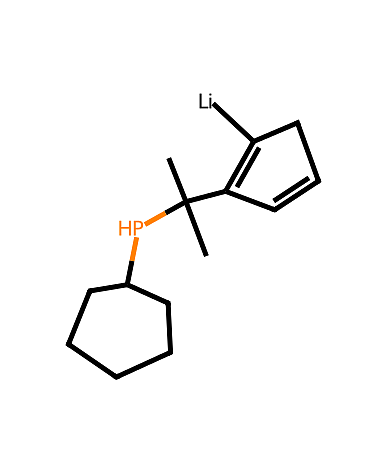 [Li][C]1=C(C(C)(C)PC2CCCCC2)C=CC1